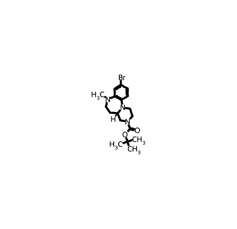 CN1CC[C@H]2CN(C(=O)OC(C)(C)C)CCN2c2ccc(Br)cc21